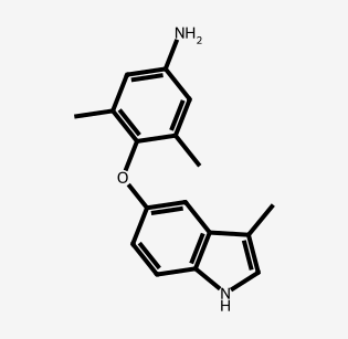 Cc1cc(N)cc(C)c1Oc1ccc2[nH]cc(C)c2c1